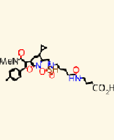 CNC(=O)c1c(-c2ccc(C)cc2)oc2nc(CN(CCCCC(=O)NCCCC(=O)O)[SH](=O)=O)c(C3CC3)cc12